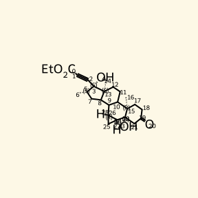 CCOC(=O)C#C[C@]1(O)[C@@H](C)CC2C3C(CC[C@@]21C)[C@@]1(C)CCC(=O)C[C@@]1(O)[C@@H]1C[C@H]31